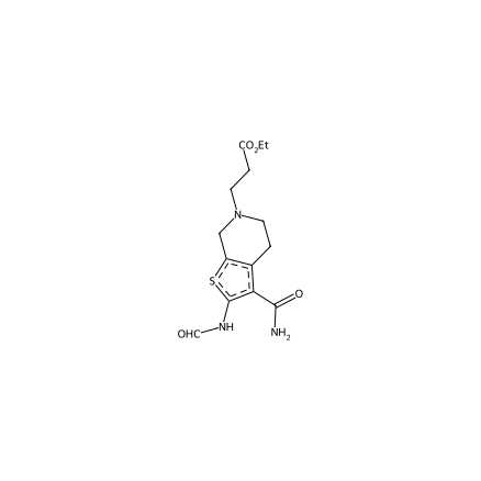 CCOC(=O)CCN1CCc2c(sc(NC=O)c2C(N)=O)C1